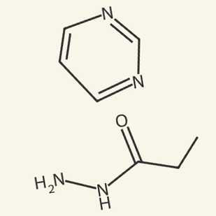 CCC(=O)NN.c1cncnc1